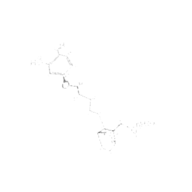 CCCCCCOCC1C2CCC(O2)C1CCCCCOc1ccc(O)c(O)c1